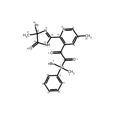 CCCC[N+](C)(C(=O)C(=O)c1cc(C)cnc1C1=NC(C)(C(C)C)C(=O)N1)c1ccccc1